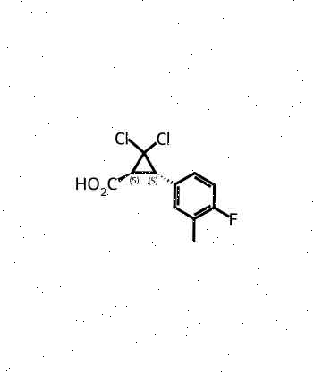 Cc1cc([C@@H]2[C@@H](C(=O)O)C2(Cl)Cl)ccc1F